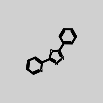 c1ccc(-c2nnc(-c3ccccn3)o2)cc1